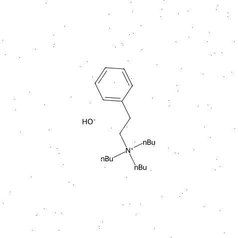 CCCC[N+](CCCC)(CCCC)CCc1ccccc1.[OH-]